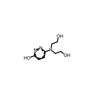 OCCN(CCO)c1ccc(O)nn1